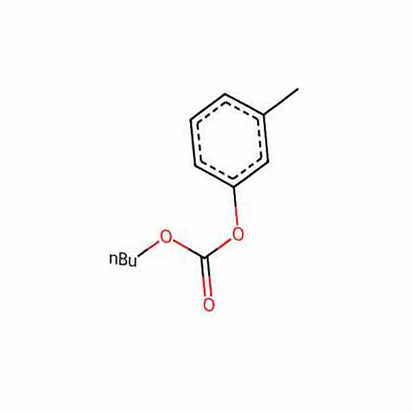 CCCCOC(=O)Oc1cccc(C)c1